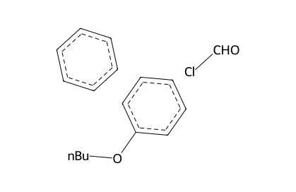 CCCCOc1ccccc1.O=CCl.c1ccccc1